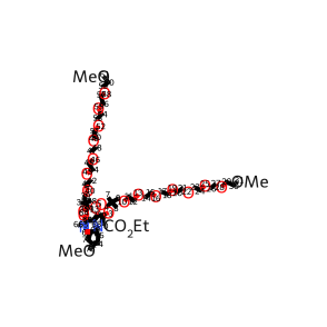 CCOC(=O)c1c(OC(=O)C(C)(C)COCCOCCOCCOCCOCCOCCOCCOC)c(OC(=O)C(C)(C)COCCOCCOCCOCCOCCOCCOCCOC)c(C(=O)N(C)C)n1-c1ccc(OC)cc1